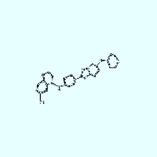 N#Cc1ccc2nccc(Nc3ccc(-c4nc5ncc(Nc6ccncc6)cn5n4)cc3)c2c1